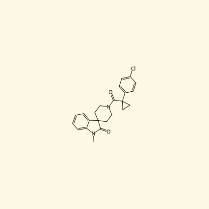 CN1C(=O)C2(CCN(C(=O)C3(c4ccc(Cl)cc4)CC3)CC2)c2ccccc21